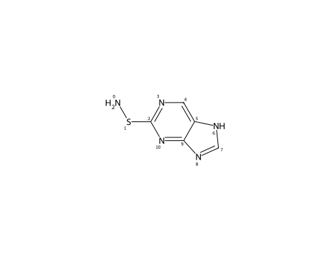 NSc1ncc2[nH]cnc2n1